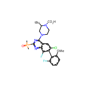 COc1cccc(F)c1-c1c(Cl)cc2c(N3CCN(C(=O)O)C(C(C)(C)C)C3)nc(P(C)(C)=O)nc2c1F